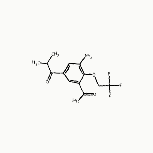 CC(C)C(=O)c1cc(N)c(OCC(F)(F)F)c(C(=O)O)c1